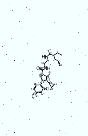 C=CCC(CC)C(C)NCCNC(=O)c1nn(-c2ccc(Cl)cc2Cl)c(C2CC2)c1C